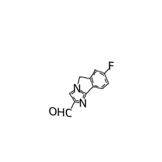 O=Cc1cn2c(n1)-c1ccc(F)cc1C2